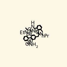 CCCN(Cc1cccc(C(=N)NC(=O)OC(C)N(CC)CC)c1)C(=O)Cc1ccc(-c2ccccc2S(N)(=O)=O)cc1